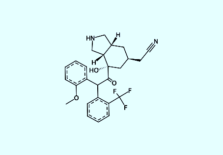 COc1ccccc1C(C(=O)[C@]1(O)C[C@H](CC#N)C[C@H]2CNC[C@H]21)c1ccccc1C(F)(F)F